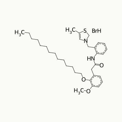 Br.CCCCCCCCCCCCCCOc1c(CC(=O)Nc2ccccc2CN2C=C(C)SC2)cccc1OC